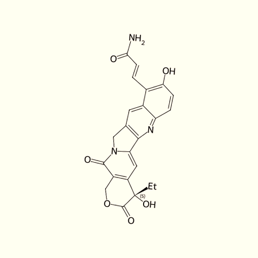 CC[C@@]1(O)C(=O)OCc2c1cc1n(c2=O)Cc2cc3c(C=CC(N)=O)c(O)ccc3nc2-1